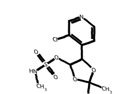 CNS(=O)(=O)OC1OC(C)(C)OC1c1ccncc1Cl